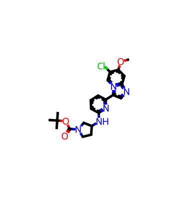 COc1cc2ncc(-c3cccc(NC4CCN(C(=O)OC(C)(C)C)C4)n3)n2cc1Cl